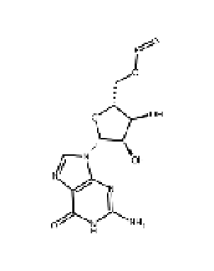 Nc1nc2c(ncn2[C@@H]2O[C@H](COP=S)[C@@H](O)[C@H]2O)c(=O)[nH]1